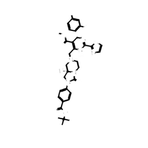 COC(=O)C1=C(CN2CCN3C(=O)N(c4ccc(C(=O)OC(C)(C)C)cc4)C[C@@H]3C2)NC(c2nccs2)=N[C@H]1c1ccc(F)cc1Cl